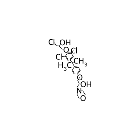 CC(C)(c1ccc(OC[C@@H](O)CN2CCOCC2)cc1)c1cc(Cl)c(OC[C@@H](O)CCl)c(Cl)c1